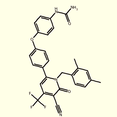 Cc1ccc(Cn2c(-c3ccc(Oc4ccc(NC(N)=O)cc4)cc3)cc(C(F)(F)F)c(C#N)c2=O)c(C)c1